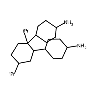 CC(C)C1CCC(C(C)C)(C2CCC(N)CC2)C(C2CCC(N)CC2)C1